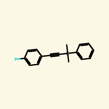 C[Si](C)(C#Cc1ccc(F)cc1)c1ccccc1